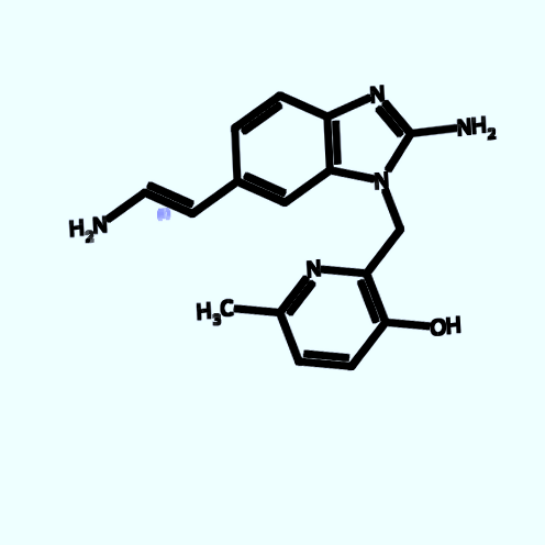 Cc1ccc(O)c(Cn2c(N)nc3ccc(/C=C/N)cc32)n1